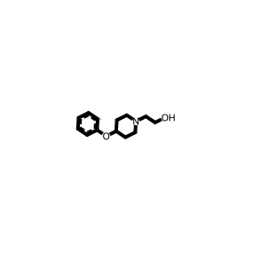 OCCN1CCC(Oc2[c]cccc2)CC1